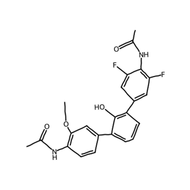 COc1cc(-c2cccc(-c3cc(F)c(NC(C)=O)c(F)c3)c2O)ccc1NC(C)=O